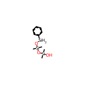 C[Si](C)(O)O[Si](C)(C)O[SiH2]c1ccccc1